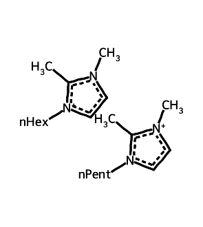 CCCCCC[n+]1ccn(C)c1C.CCCCCn1cc[n+](C)c1C